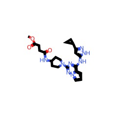 COC(=O)CCC(=O)NC1CCN(c2nc(Nc3cc(C4CC4)n[nH]3)c3cccn3n2)CC1